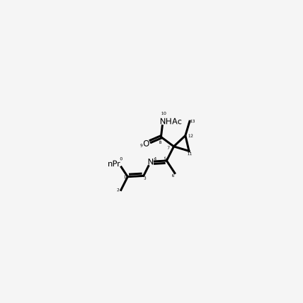 CCC/C(C)=C\N=C(/C)C1(C(=O)NC(C)=O)CC1C